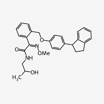 CON=C(C(=O)NCC(C)O)c1ccccc1COc1ccc(C2CCc3ccccc32)cc1